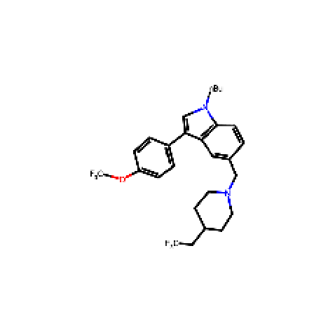 CCCCn1cc(-c2ccc(OC(F)(F)F)cc2)c2cc(CN3CCC(CC(F)(F)F)CC3)ccc21